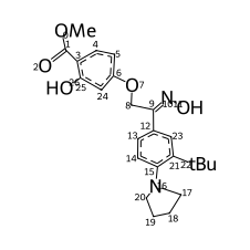 COC(=O)c1ccc(OCC(=NO)c2ccc(N3CCCC3)c(C(C)(C)C)c2)cc1O